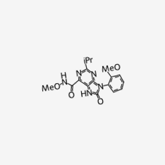 CONC(=O)c1nc(C(C)C)nc2c1[nH]c(=O)n2-c1ccccc1OC